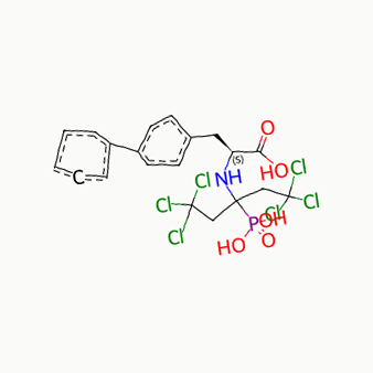 O=C(O)[C@H](Cc1ccc(-c2ccccc2)cc1)NC(CC(Cl)(Cl)Cl)(CC(Cl)(Cl)Cl)P(=O)(O)O